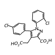 O=C(O)Cc1c(C(=O)O)nn(-c2ccccc2Cl)c1-c1ccc(Cl)cc1